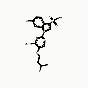 COc1nc(-n2cc(S(N)(=O)=O)c3ccc(Cl)cc32)ncc1OCCC(F)F